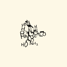 NC(=O)[C@H](CO)NC(=O)[C@H](CO)NC(=O)[C@H](Cc1c[nH]cn1)NC(=O)N1CCOCC1